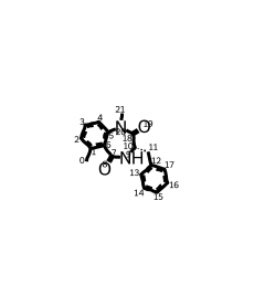 Cc1cccc2c1C(=O)N[C@@H](Cc1ccccc1)C(=O)N2C